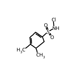 CC1=CC=C(S(=O)(=O)NCl)CC1C